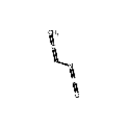 C=C=CN=C=O